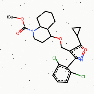 CC(C)(C)OC(=O)N1CCC(OCc2c(-c3c(Cl)cccc3Cl)noc2C2CC2)C2CCCCC21